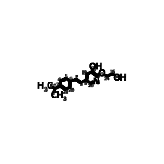 CC(C)c1ccc(/C=C/c2cnc(OCCO)c(O)c2)cc1